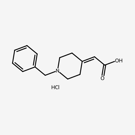 Cl.O=C(O)C=C1CCN(Cc2ccccc2)CC1